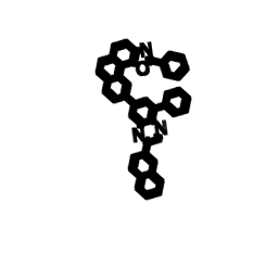 c1ccc(-c2nc3ccc4ccc5ccc(-c6cc(-c7ccccc7)c7ncc(-c8ccc9ccccc9c8)nc7c6)cc5c4c3o2)cc1